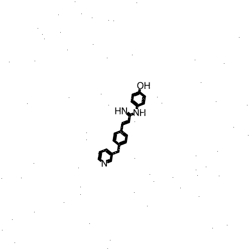 N=C(/C=C/c1ccc(Cc2cccnc2)cc1)Nc1ccc(O)cc1